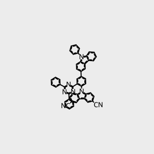 N#Cc1ccc2c(c1)c1cc(C#N)ccc1n2-c1ccc(-c2ccc3c(c2)c2ccccc2n3-c2ccccc2)cc1-c1nc(-c2ccccc2)nc(-c2ccccc2)n1